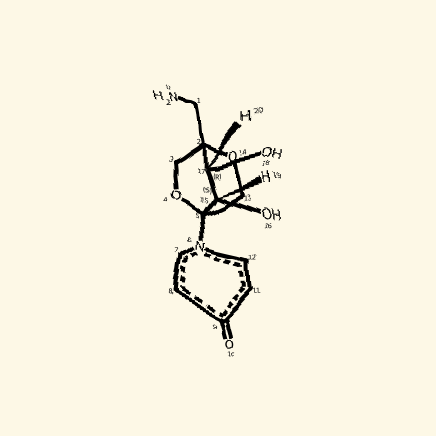 NCC12COC(n3ccc(=O)cc3)(CO1)[C@@H](O)[C@H]2O